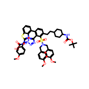 COc1ccc(CN(Cc2ccc(OC)cc2)S(=O)(=O)c2c(CCC3CCC(NC(=O)OC(C)(C)C)CC3)ccc(-c3cccc4sc(NC(=O)O)nc34)c2-c2nnn(Cc3ccc(OC)cc3)n2)cc1